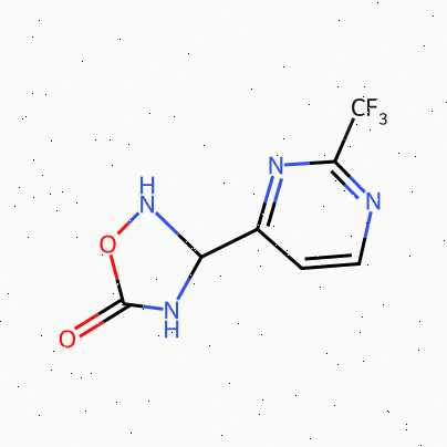 O=C1NC(c2ccnc(C(F)(F)F)n2)NO1